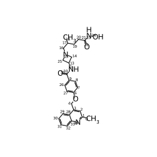 Cc1cc(COc2ccc(C(=O)NC3CN(CC(C)CCC(=O)NO)C3)cc2)c2ccccc2n1